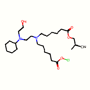 CC(C#N)COC(=O)CCCCCN(CCCCCC(=O)OCl)CCN(CCO)C1CCCCC1